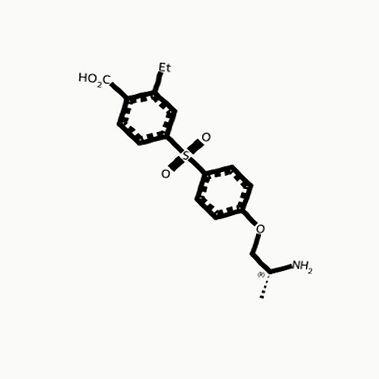 CCc1cc(S(=O)(=O)c2ccc(OC[C@@H](C)N)cc2)ccc1C(=O)O